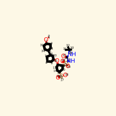 COc1ccc(-c2cccc(Oc3ccc(S(C)(=O)=O)cc3S(=O)(=O)NC(=O)NC(C)(C)C)c2)cc1